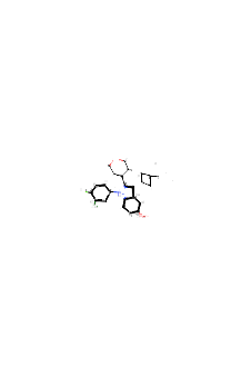 O=C(O)[C@]1(C(F)(F)F)C[C@@H](c2c(C3CCOCC3)n(-c3ccc(F)c(Cl)c3)c3ccc(O)cc32)C1